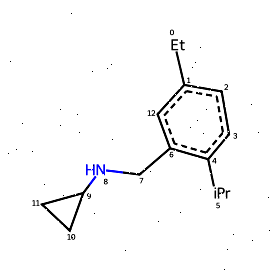 CCc1ccc(C(C)C)c(CNC2CC2)c1